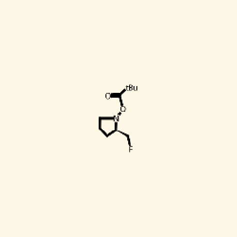 CC(C)(C)C(=O)ON1CCC[C@@H]1CF